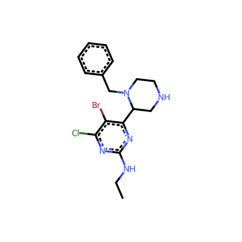 CCNc1nc(Cl)c(Br)c(C2CNCCN2Cc2ccccc2)n1